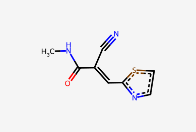 CNC(=O)/C(C#N)=C/c1nccs1